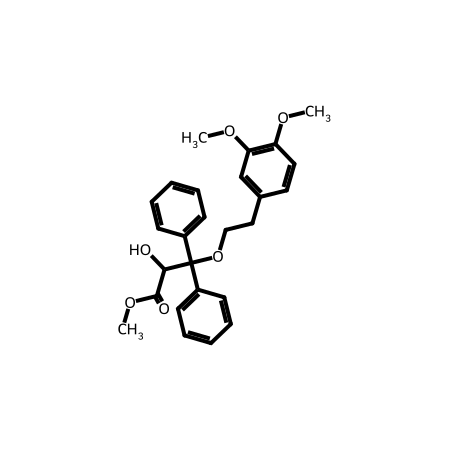 COC(=O)C(O)C(OCCc1ccc(OC)c(OC)c1)(c1ccccc1)c1ccccc1